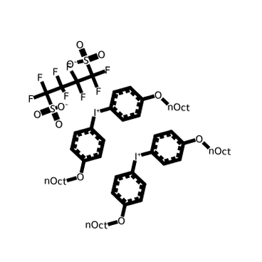 CCCCCCCCOc1ccc([I+]c2ccc(OCCCCCCCC)cc2)cc1.CCCCCCCCOc1ccc([I+]c2ccc(OCCCCCCCC)cc2)cc1.O=S(=O)([O-])C(F)(F)C(F)(F)C(F)(F)C(F)(F)S(=O)(=O)[O-]